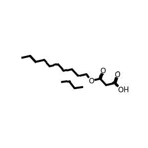 CCCC.CCCCCCCCCCOC(=O)CC(=O)O